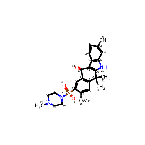 COc1cc2c(cc1S(=O)(=O)N1CCN(C)CC1)C(=O)c1c([nH]c3cc(C#N)ccc13)C2(C)C